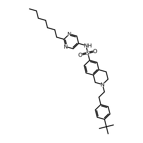 CCCCCCCc1ncc(NS(=O)(=O)c2ccc3c(c2)CCN(CCc2ccc(C(C)(C)C)cc2)C3)cn1